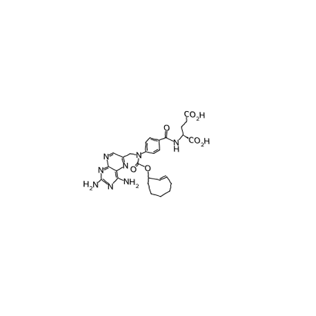 Nc1nc(N)c2nc(CN(C(=O)OC3/C=C/CCCCC3)c3ccc(C(=O)N[C@@H](CCC(=O)O)C(=O)O)cc3)cnc2n1